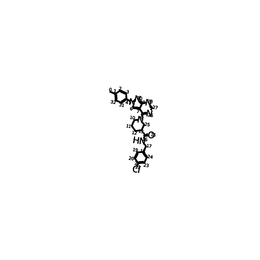 Cc1ccc(-n2cc3c(N4CCC[C@H](C(=O)NCc5ccc(Cl)cc5)C4)ncnc3n2)cc1